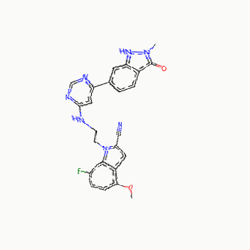 COc1ccc(F)c2c1cc(C#N)n2CCNc1cc(-c2ccc3c(=O)n(C)[nH]c3c2)ncn1